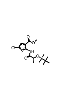 COC(=O)c1cc(Cl)sc1NC(=O)[C@H](C)O[Si](C)(C)C(C)(C)C